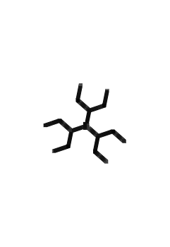 CCC(CC)B(C(CC)CC)C(CC)CC